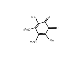 CCCCC1=C(OC)C(OC)=C(CCCC)C(=O)C1=O